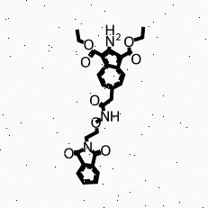 CCOC(=O)c1c2ccc(CC(=O)NOCCN3C(=O)c4ccccc4C3=O)ccc-2c(C(=O)OCC)c1N